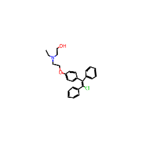 CCN(CCO)CCOc1ccc(/C(=C(/Cl)c2ccccc2)c2ccccc2)cc1